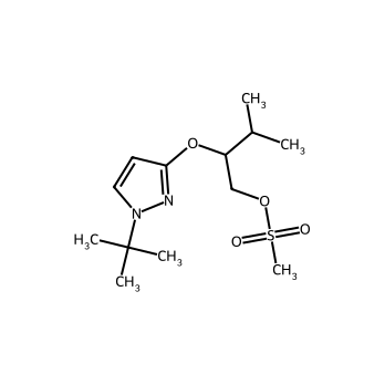 CC(C)C(COS(C)(=O)=O)Oc1ccn(C(C)(C)C)n1